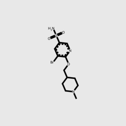 CN1CCC(COc2ncc(S(N)(=O)=O)cc2Br)CC1